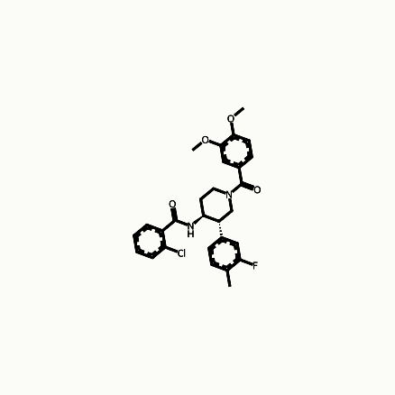 COc1ccc(C(=O)N2CC[C@H](NC(=O)c3ccccc3Cl)[C@@H](c3ccc(C)c(F)c3)C2)cc1OC